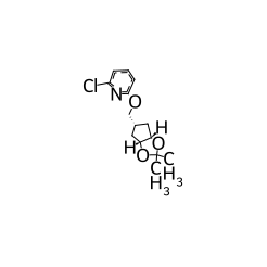 CC1(C)O[C@H]2C[C@@H](COc3cccc(Cl)n3)C[C@H]2O1